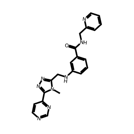 Cn1c(CNc2cccc(C(=O)NCc3ccccn3)c2)nnc1-c1ccncn1